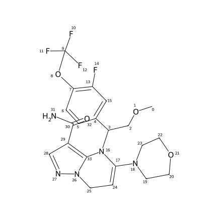 COCC(c1ccc(OC(F)(F)F)c(F)c1)N1C(N2CCOCC2)=CCn2ncc(C(N)=O)c21